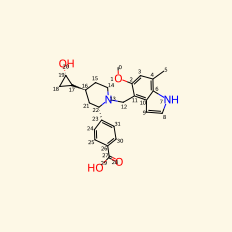 COc1cc(C)c2[nH]ccc2c1CN1CC[C@H](C2C[C@@H]2O)C[C@H]1c1ccc(C(=O)O)cc1